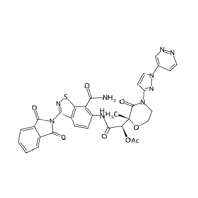 CC(=O)O[C@@H](C(=O)Nc1ccc2c(N3C(=O)c4ccccc4C3=O)nsc2c1C(N)=O)[C@@]1(C)OCCN(c2ccn(-c3ccnnc3)n2)C1=O